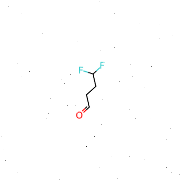 O=CCCC(F)F